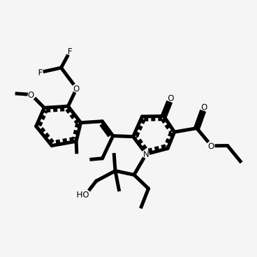 CCOC(=O)c1cn(C(CC)C(C)(C)CO)c(/C(=C/c2c(C)ccc(OC)c2OC(F)F)CC)cc1=O